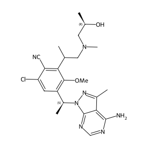 COc1c([C@H](C)n2nc(C)c3c(N)ncnc32)cc(Cl)c(C#N)c1C(C)CN(C)C[C@@H](C)O